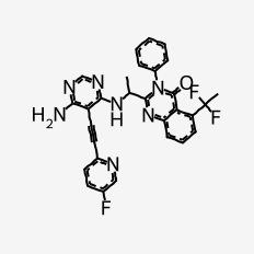 CC(Nc1ncnc(N)c1C#Cc1ccc(F)cn1)c1nc2cccc(C(C)(F)F)c2c(=O)n1-c1ccccc1